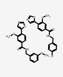 COc1cc(C(=O)NCc2ccc(Cl)cc2)ccc1-c1cnco1.COc1cccc(CNC(=O)c2ccc(-c3cnco3)c(OC)c2)c1